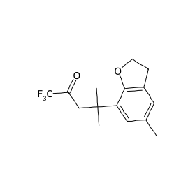 Cc1cc2c(c(C(C)(C)CC(=O)C(F)(F)F)c1)OCC2